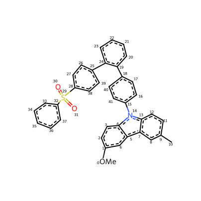 COc1ccc2c(c1)c1cc(C)ccc1n2-c1ccc(-c2ccccc2-c2ccc(S(=O)(=O)c3ccccc3)cc2)cc1